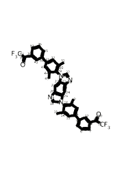 Cc1cc(-c2cccc(C(=O)C(F)(F)F)c2)cc(C)c1-n1cnc2cc3c(cc21)ncn3-c1c(C)cc(-c2cccc(C(=O)C(F)(F)F)c2)cc1C